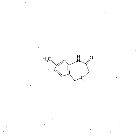 Cc1ccc2c(c1)NC(=O)CCC2